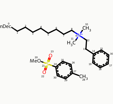 CCCCCCCCCCCCCCCCCC[N+](C)(C)CCc1ccccc1.COS(=O)(=O)c1ccc(C)cc1